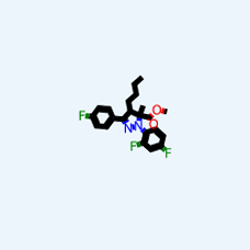 CCCCC1C(c2ccc(F)cc2)=NN(c2ccc(F)cc2F)C1(C)C(=O)OC